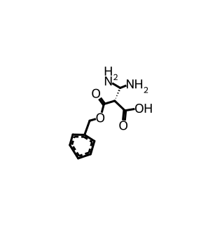 NC(N)[C@H](C(=O)O)C(=O)OCc1ccccc1